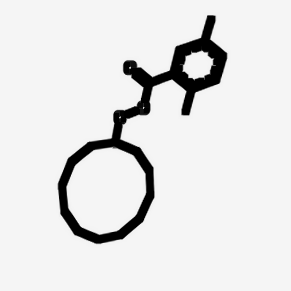 Cc1ccc(C)c(C(=O)OO[C]2CCCCCCCCCCC2)c1